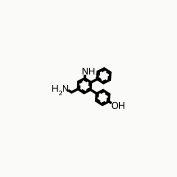 NCc1cc(N)c(-c2ccccc2)c(-c2ccc(O)cc2)c1